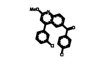 COc1cc(-c2cccc(Cl)c2)c2cc(C(=O)c3ccc(Cl)cc3)ccc2n1